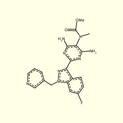 COC(=O)N(C)c1c(N)nc(-c2nn(Cc3cccnc3)c3cc(F)ccc23)nc1N